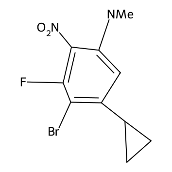 CNc1cc(C2CC2)c(Br)c(F)c1[N+](=O)[O-]